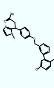 Cc1ccc(Cl)cc1-c1cccc(COc2ccc(C(CC(=O)O)c3nccn3C)cc2)c1